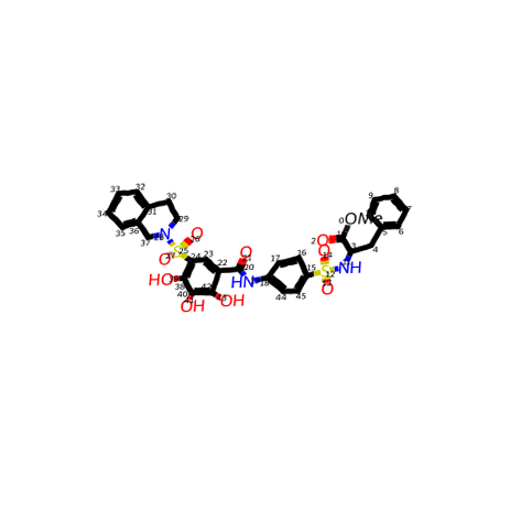 COC(=O)C(Cc1ccccc1)NS(=O)(=O)c1ccc(NC(=O)c2cc(S(=O)(=O)N3CCc4ccccc4C3)c(O)c(O)c2O)cc1